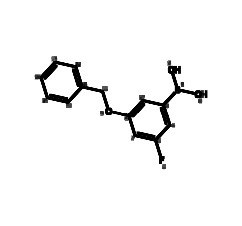 OB(O)c1cc(F)cc(OCc2ccccc2)c1